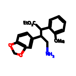 CCOC(=O)C(c1ccccc1OC)C(CN)c1ccc2c(c1)OCO2